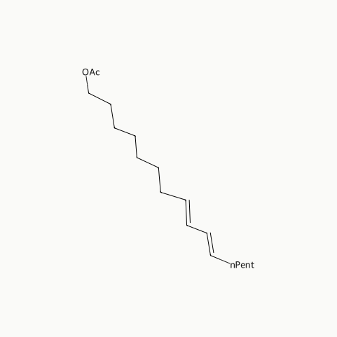 CCCCCC=CC=CCCCCCCCOC(C)=O